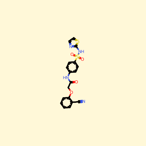 N#Cc1ccccc1OCC(=O)Nc1ccc(S(=O)(=O)Nc2nccs2)cc1